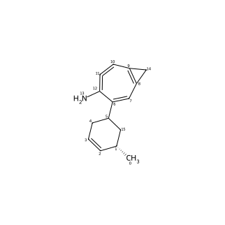 C[C@@H]1C=CCC(C2=CC3=C(C=C=C2N)C3)C1